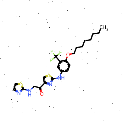 CCCCCCCCOc1ccc(Nc2nc(C(=O)CNc3nccs3)cs2)cc1C(F)(F)F